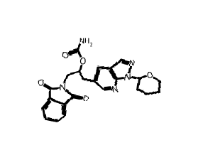 NC(=O)OC(Cc1cnc2c(cnn2C2CCCCO2)c1)CN1C(=O)c2ccccc2C1=O